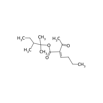 CCC/C=C(\C(C)=O)C(=O)OC(C)(C)C(C)CC